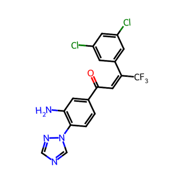 Nc1cc(C(=O)/C=C(\c2cc(Cl)cc(Cl)c2)C(F)(F)F)ccc1-n1cncn1